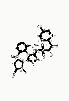 COc1cccc(OC)c1-n1c(NS(=O)(=O)[C@@H](C)[C@H](C)c2ncc(Cl)cn2)nnc1[C@H]1CCC(=O)N1C